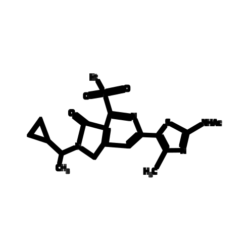 CCS(=O)(=O)c1nc(-c2sc(NC(C)=O)nc2C)cc2c1C(=O)N(C(C)C1CC1)C2